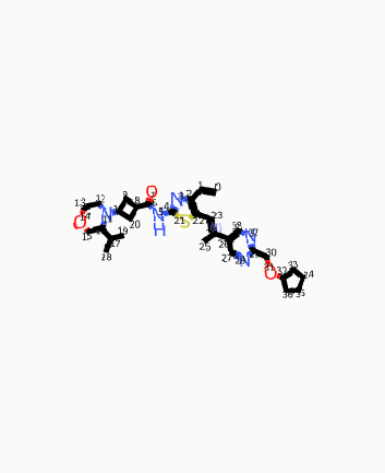 C=Cc1nc(NC(=O)C2CC(N3CCOCC3C(C)C)C2)sc1/C=C(\C)c1cnc(COC2CCCC2)nc1